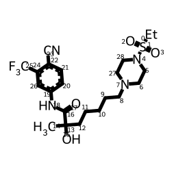 CCS(=O)(=O)N1CCN(CCCCCC(C)(O)C(=O)Nc2ccc(C#N)c(C(F)(F)F)c2)CC1